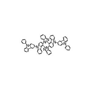 c1ccc(-n2c3ccccc3c3cc(-n4c5ccccc5c5c6c(ccc54)n4c5ccccc5nc4c4c5c7ccccc7n(-c7ccc8c(c7)c7ccccc7n8-c7ccccc7)c5ccc4n4c5ccccc5nc64)ccc32)cc1